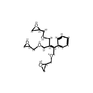 c1ccc(C(COCC2CO2)=C(COCC2CO2)COCC2CO2)cc1